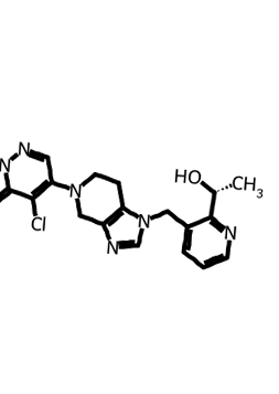 C[C@@H](O)c1ncccc1Cn1cnc2c1CCN(c1cn[nH]c(=O)c1Cl)C2